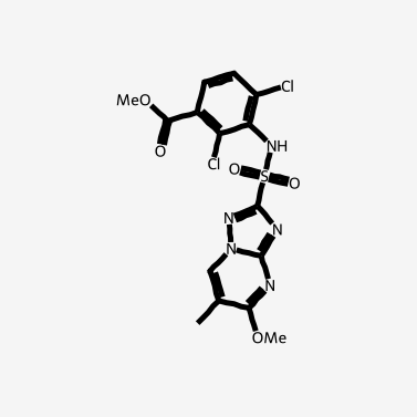 COC(=O)c1ccc(Cl)c(NS(=O)(=O)c2nc3nc(OC)c(C)cn3n2)c1Cl